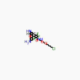 N=c1ccc2c(-c3c(F)c(C(=O)NCCOCCOCCCCCCCl)c(F)c(F)c3C(=O)O)c3ccc(N)cc3oc-2c1